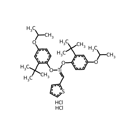 CC(C)Oc1ccc([O][Ti](=[CH]c2cccs2)[O]c2ccc(OC(C)C)cc2C(C)(C)C)c(C(C)(C)C)c1.Cl.Cl